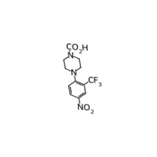 O=C(O)N1CCN(c2ccc([N+](=O)[O-])cc2C(F)(F)F)CC1